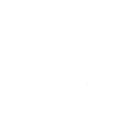 N#Cc1ccccc1-n1c2ccccc2c2cc(-c3ccc4c(c3)c3ccccc3n4-c3ccccc3C#N)ccc21